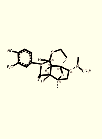 CN(C(=O)O)[C@@H]1C[C@]2(C)O[C@]13CCO[C@@H]1[C@H]3[C@H]2C(=O)N1c1ccc(C#N)c(C(F)(F)F)c1